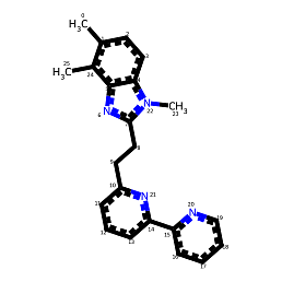 Cc1ccc2c(nc(CCc3cccc(-c4ccccn4)n3)n2C)c1C